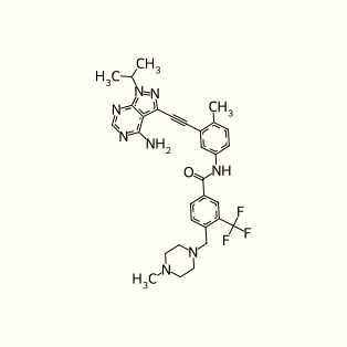 Cc1ccc(NC(=O)c2ccc(CN3CCN(C)CC3)c(C(F)(F)F)c2)cc1C#Cc1nn(C(C)C)c2ncnc(N)c12